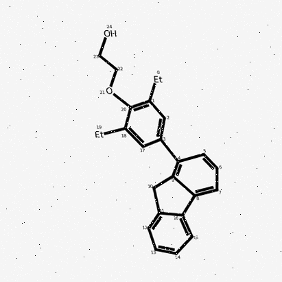 CCc1cc(-c2cccc3c2Cc2ccccc2-3)cc(CC)c1OCCO